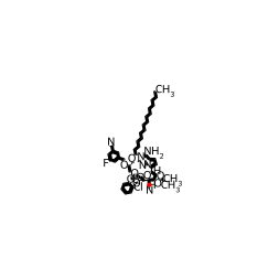 CCCCCCCCCCCCCCCCCOC[C@H](COP(=O)(OC[C@@]1(C#N)O[C@@H](c2ccc3c(N)ncnn23)[C@@H]2OC(C)(C)O[C@@H]21)Oc1ccccc1Cl)OCc1cc(F)cc(C#N)c1